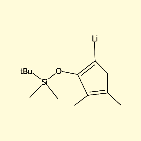 [Li][C]1=C(O[Si](C)(C)C(C)(C)C)C(C)=C(C)C1